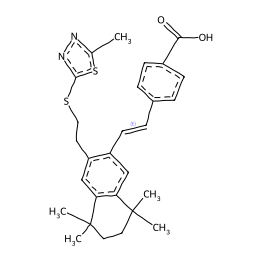 Cc1nnc(SCCc2cc3c(cc2/C=C/c2ccc(C(=O)O)cc2)C(C)(C)CCC3(C)C)s1